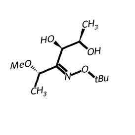 CO[C@@H](C)/C(=N/OC(C)(C)C)[C@@H](O)[C@@H](C)O